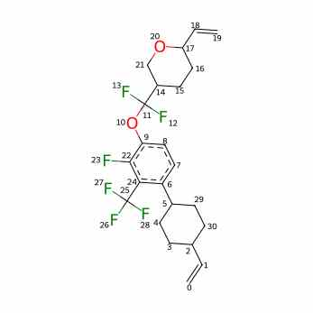 C=CC1CCC(c2ccc(OC(F)(F)C3CCC(C=C)OC3)c(F)c2C(F)(F)F)CC1